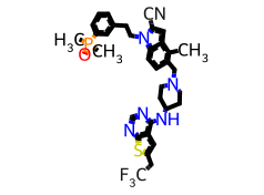 Cc1c(CN2CCC(Nc3ncnc4sc(CC(F)(F)F)cc34)CC2)ccc2c1cc(C#N)n2CCc1cccc(P(C)(C)=O)c1